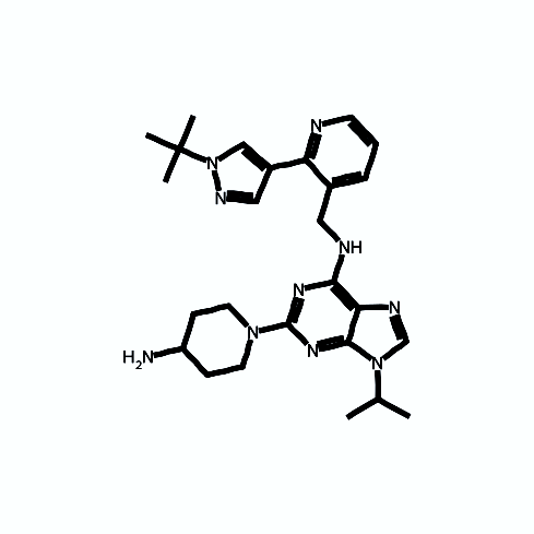 CC(C)n1cnc2c(NCc3cccnc3-c3cnn(C(C)(C)C)c3)nc(N3CCC(N)CC3)nc21